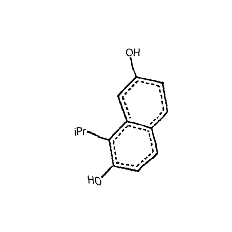 CC(C)c1c(O)ccc2ccc(O)cc12